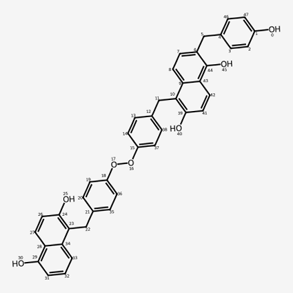 Oc1ccc(Cc2ccc3c(Cc4ccc(OOc5ccc(Cc6c(O)ccc7c(O)cccc67)cc5)cc4)c(O)ccc3c2O)cc1